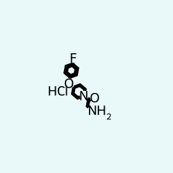 Cl.NCC(=O)N1CCC(Oc2ccc(F)cc2)CC1